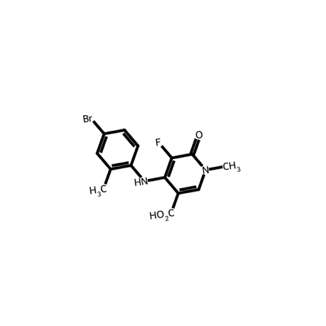 Cc1cc(Br)ccc1Nc1c(C(=O)O)cn(C)c(=O)c1F